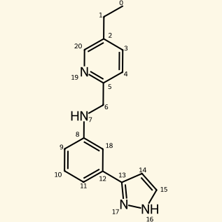 CCc1ccc(CNc2cccc(-c3cc[nH]n3)c2)nc1